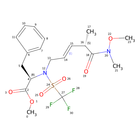 COC(=O)[C@@H](Cc1ccccc1)N(C/C=C/[C@H](C)C(=O)N(C)OC)S(=O)(=O)C(F)(F)F